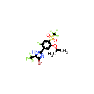 CC(C)Oc1cc(-c2nc(Br)c(C(F)(F)F)[nH]2)c(F)cc1S(=O)(=O)C(F)(F)F